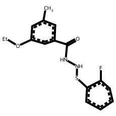 CCOc1cc(C)cc(C(=O)NNSc2ccccc2F)c1